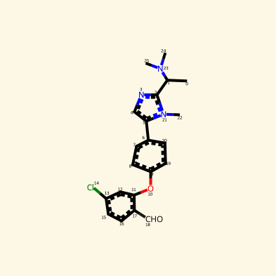 CC(c1ncc(-c2ccc(Oc3cc(Cl)ccc3C=O)cc2)n1C)N(C)C